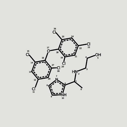 CC(NCCO)c1ncc[nH]1.Clc1cc(Cl)c(Oc2c(Cl)cc(Cl)cc2Cl)c(Cl)c1